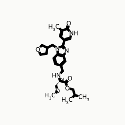 COC[C@H](NCc1ccc2c(c1)nc(-c1c[nH]c(=O)c(C)c1)n2CC1CCOC1)C(=O)OCC(C)C